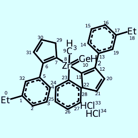 CCc1cccc(C2=[C]([Zr]([CH3])(=[GeH2])([C]3=C(c4cccc(CC)c4)C=CC3)[c]3ccccc3)CC=C2)c1.Cl.Cl